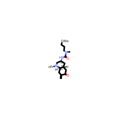 C=C1C[C@@H]2[C@@H](CC1=O)C[C@H](NC(=O)N(C)CCCOC)CN2CCC